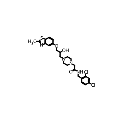 Cc1nc2cc(OCC(O)CN3CCN(CC(=O)NCc4ccc(Cl)cc4Cl)CC3)ccc2s1